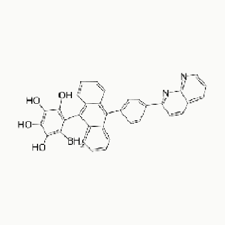 Bc1c(O)c(O)c(O)c(O)c1-c1c2ccccc2c(-c2ccc(-c3ccc4cccnc4n3)cc2)c2ccccc12